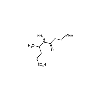 CCCCCCCCCCCC(=O)NC(C)COS(=O)(=O)O.N